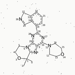 CC1(C)OCCn2c1nc1c(N3CCOCC3)nc(-c3cccc4c3C=NC4)nc12